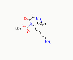 C[C@H](N)C(=O)N(C(=O)OC(C)(C)C)[C@@H](CCCCN)C(=O)O